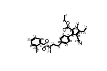 CCOC(=O)c1c(-c2ccc(CCNS(=O)(=O)c3ccccc3F)cc2)c(C#N)c(CC)n1C